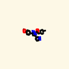 COc1ccc(C2=NN(C(=O)CC3C=CC(C)=CC3)C(c3cccnc3)C2)cc1